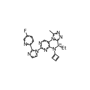 CC[C@@H]1c2nnc(C)n2-c2cnc(-n3ccnc3-c3ccc(F)cn3)nc2N1C1=CC=C1